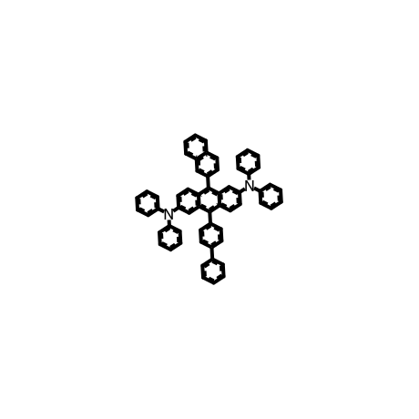 c1ccc(-c2ccc(-c3c4ccc(N(c5ccccc5)c5ccccc5)cc4c(-c4ccc5ccccc5c4)c4ccc(N(c5ccccc5)c5ccccc5)cc34)cc2)cc1